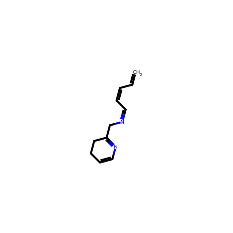 C=C/C=C\C=N/CC1=NC=CCC1